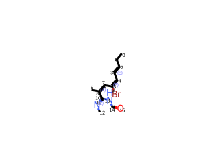 CC/C=C/C=C(Br)\C=C(C)/C(=N/C)NC=O